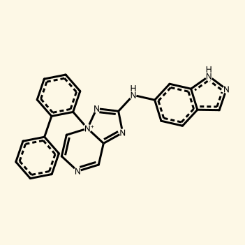 C1=C[N+]2(c3ccccc3-c3ccccc3)N=C(Nc3ccc4cn[nH]c4c3)N=C2C=N1